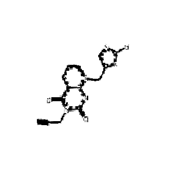 C#CCn1c(=O)nc2n(Cc3csc(Cl)n3)cccc-2c1=O